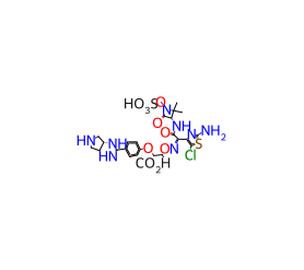 CC1(C)[C@H](NC(=O)/C(=N\OC(COc2ccc(C(=N)N[C@@H]3CCNC3)cc2)C(=O)O)c2nc(N)sc2Cl)C(=O)N1OS(=O)(=O)O